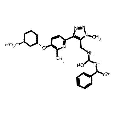 CCCC(NC(O)NCc1c(-c2ccc(O[C@H]3CCC[C@H](C(=O)O)C3)c(C)n2)nnn1C)c1ccccc1